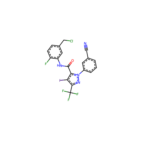 N#Cc1cccc(-n2nc(C(F)(F)F)c(I)c2C(=O)Nc2cc(CCl)ccc2F)c1